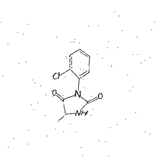 CC1NC(=O)N(c2ccccc2Cl)C1=O